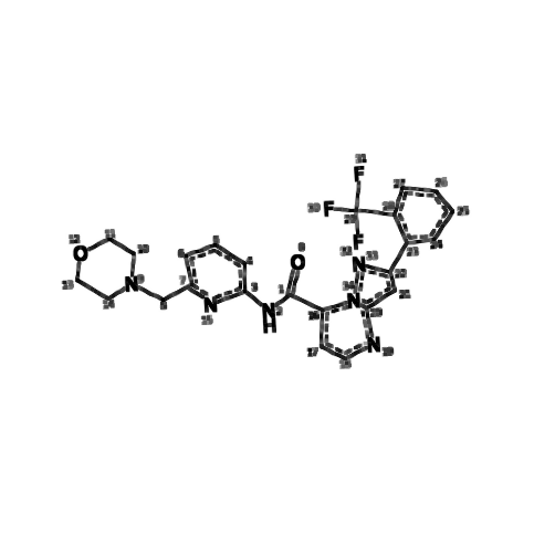 O=C(Nc1cccc(CN2CCOCC2)n1)c1ccnc2cc(-c3ccccc3C(F)(F)F)nn12